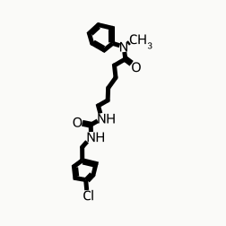 CN(C(=O)CCCCCNC(=O)NCc1ccc(Cl)cc1)c1ccccc1